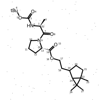 C[C@H](NC(=O)OC(C)(C)C)C(=O)N1CCC[C@H]1C(=O)OCCC1CCC2(C)C1C2(C)C